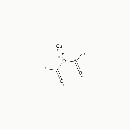 CC(=O)OC(C)=O.[Cu].[Fe]